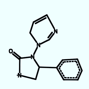 O=C1[N]CC(c2ccccc2)N1N1C=NC=CC1